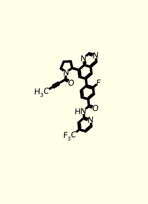 CC#CC(=O)N1CCCC1c1cc(-c2ccc(C(=O)Nc3cc(C(F)(F)F)ccn3)cc2F)cc2cncnc12